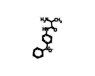 CC(N)C(=O)Nc1ccc([S+]([O-])c2ccccc2)cc1